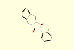 O=C1C2Cc3ccccc3CN2C(=O)N1c1ccccc1Cl